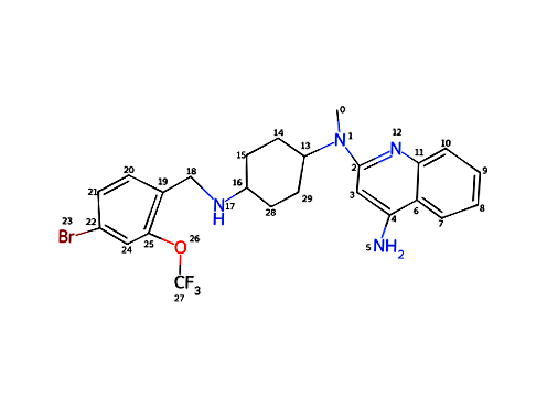 CN(c1cc(N)c2ccccc2n1)C1CCC(NCc2ccc(Br)cc2OC(F)(F)F)CC1